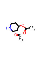 C=O.O=C(OC1CCNCC1)C(F)(F)F